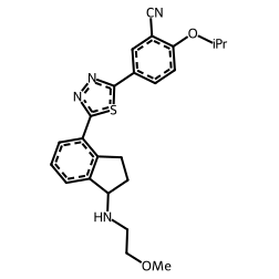 COCCNC1CCc2c(-c3nnc(-c4ccc(OC(C)C)c(C#N)c4)s3)cccc21